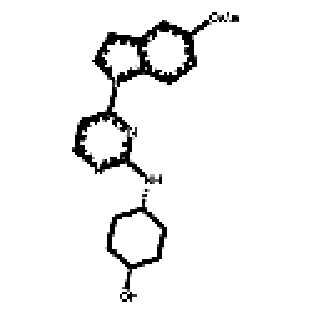 COc1ccc2c(ccn2-c2ccnc(N[C@H]3CC[C@H](O)CC3)n2)c1